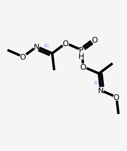 CO/N=C(\C)O[PH](=O)O/C(C)=N/OC